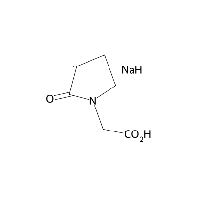 O=C(O)CN1CC[CH]C1=O.[NaH]